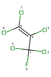 FC(Cl)(Cl)C(Cl)=C(Cl)Cl